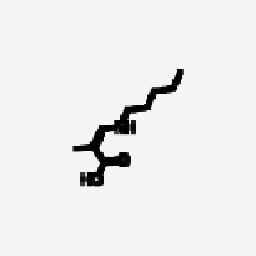 CCCCCNC=C(C)C(=O)O